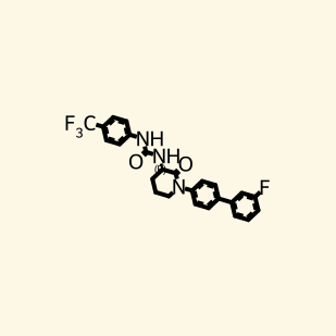 O=C(Nc1ccc(C(F)(F)F)cc1)N[C@@H]1CCCN(c2ccc(-c3cccc(F)c3)cc2)C1=O